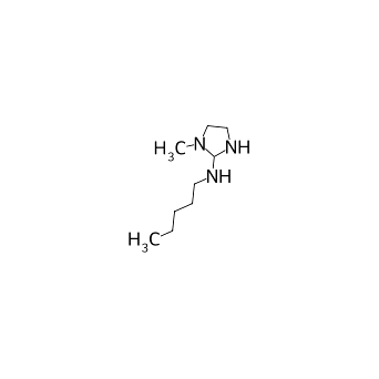 CCCCCNC1NCCN1C